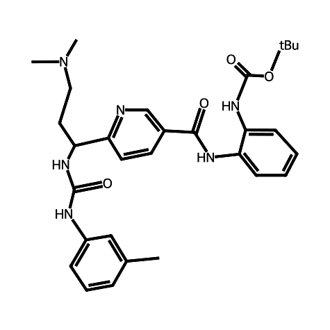 Cc1cccc(NC(=O)NC(CCN(C)C)c2ccc(C(=O)Nc3ccccc3NC(=O)OC(C)(C)C)cn2)c1